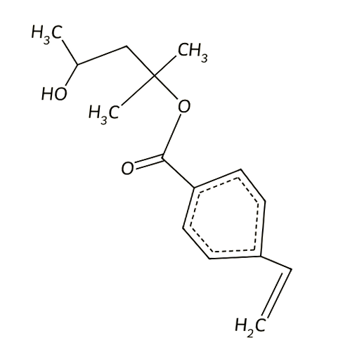 C=Cc1ccc(C(=O)OC(C)(C)CC(C)O)cc1